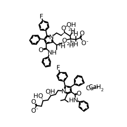 CC(C)c1c(C(=O)Nc2ccccc2)c(-c2ccccc2)c(-c2ccc(F)cc2)n1CC[C@@H](O)C[C@@H](O)CC(=O)[O-].[2H]O[C@]([2H])(C([2H])[C@@H](CCn1c(-c2ccc(F)cc2)c(-c2ccccc2)c(C(=O)Nc2ccccc2)c1C(C)C)OO)C([2H])([2H])C(=O)[O-].[Ca+2].[CaH2]